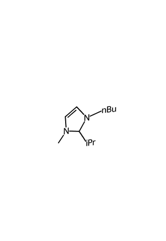 CCCCN1C=CN(C)C1C(C)C